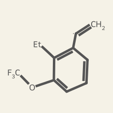 C=[C]c1cccc(OC(F)(F)F)c1CC